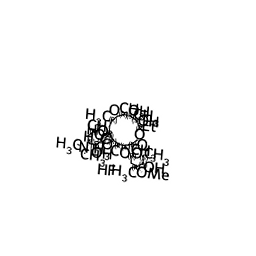 CC[C@H]1OC(=O)[C@H](C)[C@@H](O[C@H]2C[C@@](C)(OC)[C@@H](O)[C@H](C)O2)[C@@H](C)[C@@H](O[C@@H]2O[C@H](C)C[C@H](N(C)C)[C@H]2O)[C@](C)(O)C[C@@H](C)C(=O)[C@H](C)[C@H](O)[C@]1(C)O.F